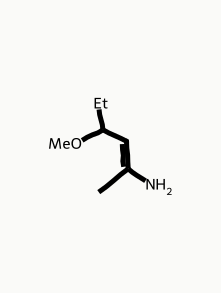 CCC(/C=C(\C)N)OC